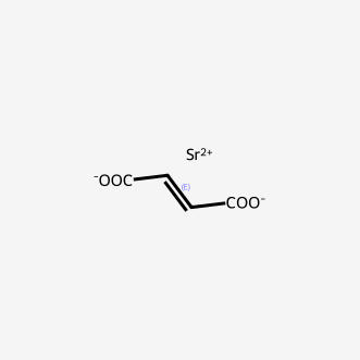 O=C([O-])/C=C/C(=O)[O-].[Sr+2]